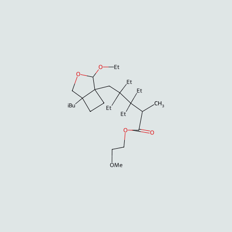 CCOC1OCC2(C(C)CC)CCC12CC(CC)(CC)C(CC)(CC)C(C)C(=O)OCCOC